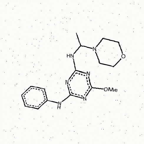 COc1nc(Nc2ccccc2)nc(NC(C)N2CCOCC2)n1